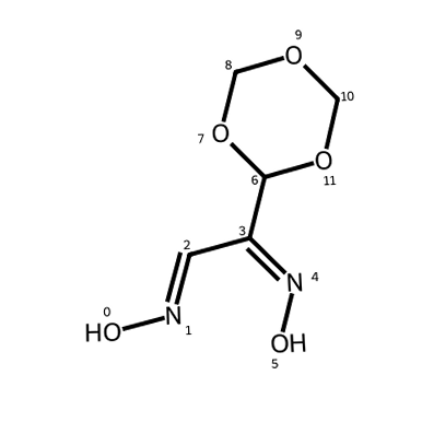 ON=CC(=NO)C1OCOCO1